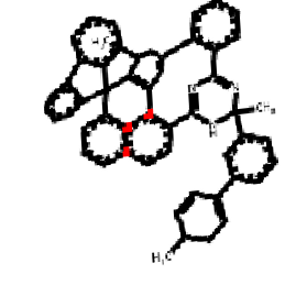 CC1C=CC(c2cccc(C3(C)N=C(c4ccccc4C4=CC5=C(C(C)C4)C4(c6ccccc6O5)c5ccccc5-c5ccccc54)N=C(c4ccccc4)N3)c2)=CC1